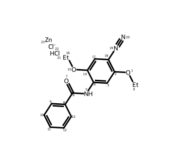 CCOc1cc(NC(=O)c2ccccc2)c(OCC)cc1[N+]#N.Cl.[Cl-].[Zn]